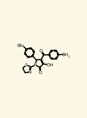 Bc1ccc(C(=O)C2=C(O)C(=O)N(C3=NCCS3)C2c2ccc(C(C)(C)C)cc2)cc1